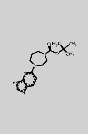 CC(C)(C)OC(=O)N1CCCN(c2ccc3nc[nH]c3n2)CC1